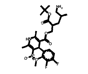 COc1c(C2C(C(=O)OCC(CC(C)CN)C(=O)OC(C)(C)C)=C(C)NC(C)=C2[N+](=O)[O-])ccc(F)c1F